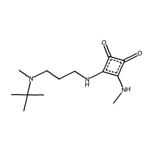 CNc1c(NCCCN(C)C(C)(C)C)c(=O)c1=O